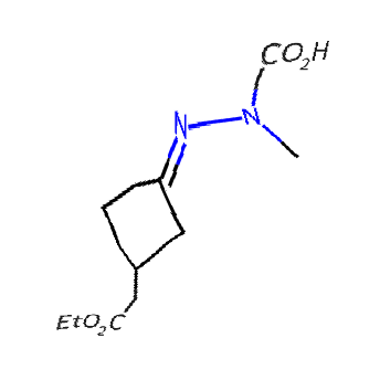 CCOC(=O)C1CC(=NN(C)C(=O)O)C1